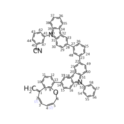 C=C1/C=C\C=C/COc2c1cccc2-c1ccc2c(c1)c1cc(-c3cccc(-c4ccc5c(c4)c4ccccc4n5-c4cccc(C#N)c4)c3)ccc1n2-c1ccccc1